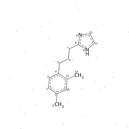 Cc1ccc(CCCc2ncc[nH]2)c(C)c1